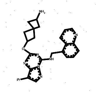 CC(C)c1cnn2c(NCc3cccc4ncccc34)nc(OC3CC4(CC(N)C4)C3)nc12